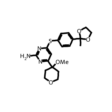 COC1(c2cc(Sc3ccc(C4(C)OCCO4)cc3)nc(N)n2)CCOCC1